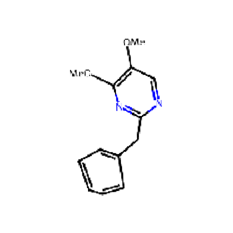 COc1cnc(Cc2ccccc2)nc1OC